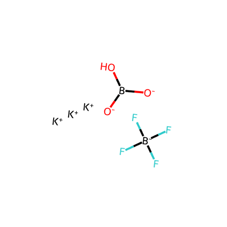 F[B-](F)(F)F.[K+].[K+].[K+].[O-]B([O-])O